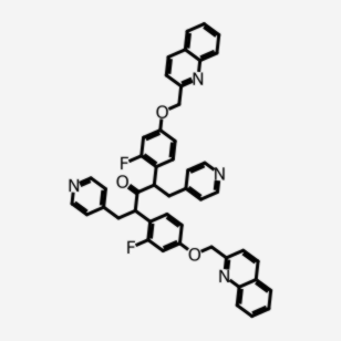 O=C(C(Cc1ccncc1)c1ccc(OCc2ccc3ccccc3n2)cc1F)C(Cc1ccncc1)c1ccc(OCc2ccc3ccccc3n2)cc1F